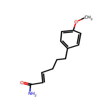 COc1ccc(CCCC=CC(N)=O)cc1